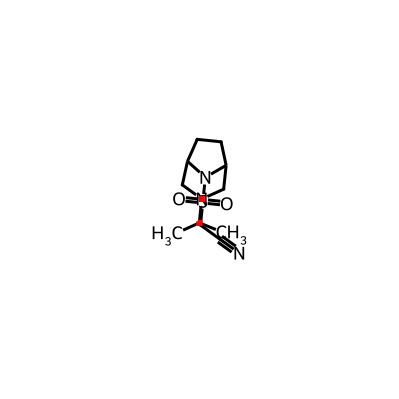 CC(C)N1CC2CCC(C1)N2S(=O)(=O)CC#N